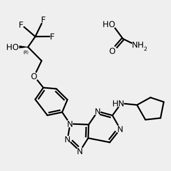 NC(=O)O.O[C@H](COc1ccc(-n2nnc3cnc(NC4CCCC4)nc32)cc1)C(F)(F)F